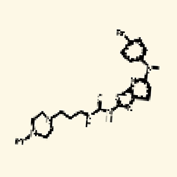 CC(C)N1CCN(CCCNC(=O)Nc2nc3ccc(N(C)c4ccc(Br)cc4)nc3s2)CC1